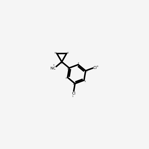 N#CC1(c2cc(Cl)cc(Cl)c2)CC1